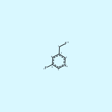 FCc1cn[c]c(F)c1